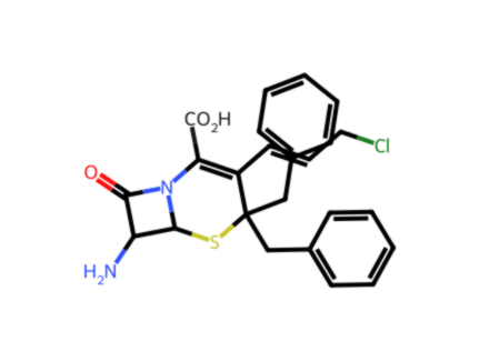 NC1C(=O)N2C(C(=O)O)=C(C=CCCl)C(Cc3ccccc3)(Cc3ccccc3)SC12